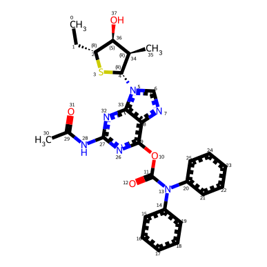 CC[C@H]1S[C@@H](n2cnc3c(OC(=O)N(c4ccccc4)c4ccccc4)nc(NC(C)=O)nc32)[C@H](C)[C@@H]1O